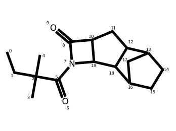 CCC(C)(C)C(=O)N1C(=O)C2CC3C4CCC(C4)C3C21